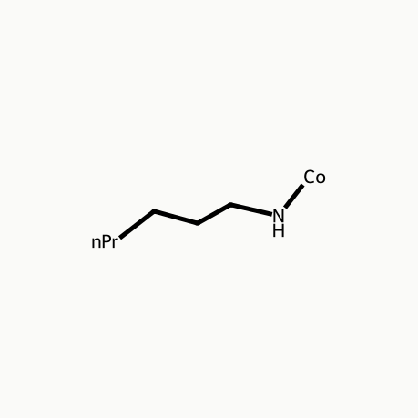 CCCCCC[NH][Co]